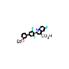 CCOc1cccc(-c2cc(F)c(-c3cc(C(=O)O)c4cc(F)ccc4n3)c(F)c2)c1